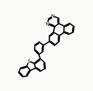 c1cc(-c2ccc3c4ccccc4c4cncnc4c3c2)cc(-c2cccc3c2sc2ccccc23)c1